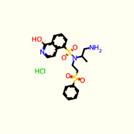 CC(CN)N(CCS(=O)(=O)c1ccccc1)S(=O)(=O)c1cccc2c(O)nccc12.Cl